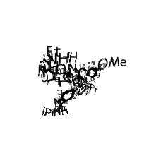 CCN[C@H]1CO[C@@H]2OCC[C@H](OC(=O)N[C@@H](Cc3cccc(OC)c3)[C@H](O)CN(CC(C)C)S(=O)(=O)c3ccc4nc(NC(C)C)sc4c3)[C@@H]21